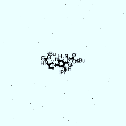 CC(C)Nc1cc(N2CCC(NC(=O)OC(C)(C)C)C2)c(F)cc1C(=O)N(N)C(=O)OC(C)(C)C